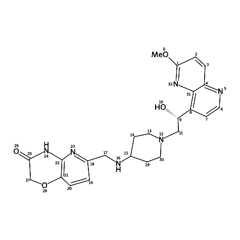 COc1ccc2nccc([C@@H](O)CN3CCC(NCc4ccc5c(n4)NC(=O)CO5)CC3)c2n1